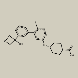 O=C(O)[C@H]1CC[C@H](Nc2ncc(F)c(-c3cccc(C4(O)COC4)c3)n2)CC1